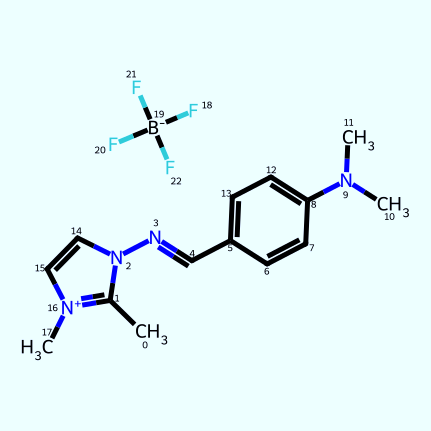 Cc1n(N=Cc2ccc(N(C)C)cc2)cc[n+]1C.F[B-](F)(F)F